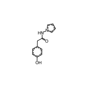 O=C(Cc1ccc(O)cc1)Nn1cccc1